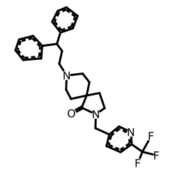 O=C1N(Cc2ccc(C(F)(F)F)nc2)CCC12CCN(CCC(c1ccccc1)c1ccccc1)CC2